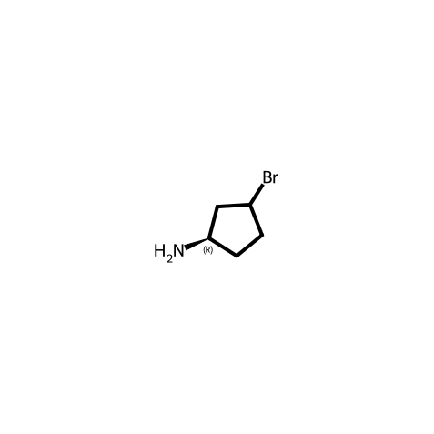 N[C@@H]1CCC(Br)C1